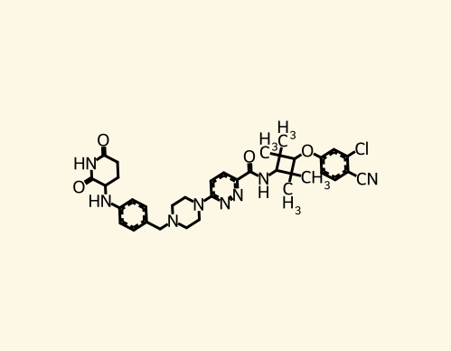 CC1(C)C(NC(=O)c2ccc(N3CCN(Cc4ccc(NC5CCC(=O)NC5=O)cc4)CC3)nn2)C(C)(C)C1Oc1ccc(C#N)c(Cl)c1